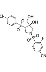 N#Cc1ccc(S(=O)(=O)N2CC(S(=O)(=O)c3ccc(Cl)cc3)[C@](O)(CO)C2)c(F)c1